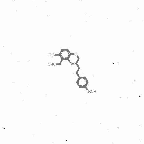 O=CCc1c([N+](=O)[O-])ccc2c1OC(CCc1ccc(S(=O)(=O)O)cc1)CO2